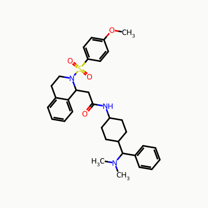 COc1ccc(S(=O)(=O)N2CCc3ccccc3C2CC(=O)NC2CCC(C(c3ccccc3)N(C)C)CC2)cc1